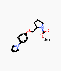 CC(C)(C)OC(=O)N1CCCC1COc1ccc(-n2cccc2)cc1